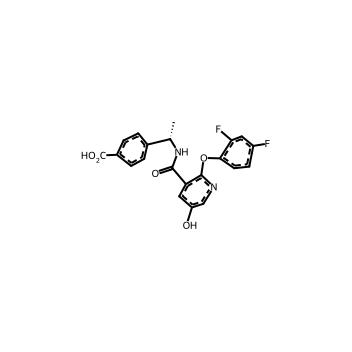 C[C@H](NC(=O)c1cc(O)cnc1Oc1ccc(F)cc1F)c1ccc(C(=O)O)cc1